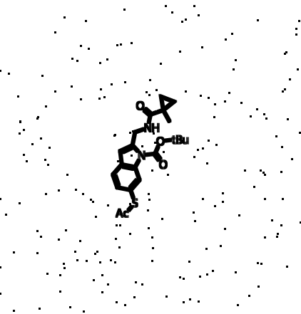 CC(=O)Sc1ccc2cc(CNC(=O)C3(C)CC3)n(C(=O)OC(C)(C)C)c2c1